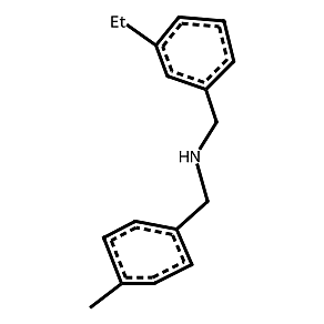 CCc1cccc(CNCc2ccc(C)cc2)c1